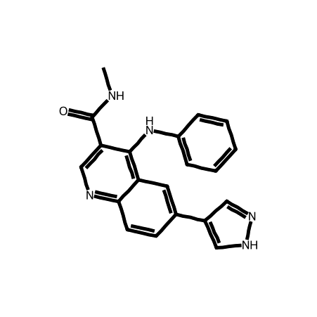 CNC(=O)c1cnc2ccc(-c3cn[nH]c3)cc2c1Nc1ccccc1